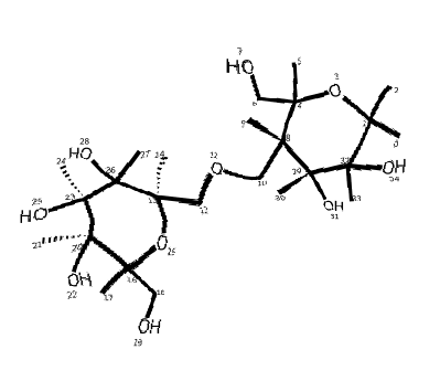 CC1(C)OC(C)(CO)[C@@](C)(COC[C@@]2(C)OC(C)(CO)[C@@](C)(O)[C@@](C)(O)C2(C)O)[C@@](C)(O)C1(C)O